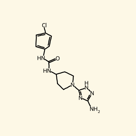 Nc1n[nH]c(N2CCC(NC(=O)Nc3ccc(Cl)cc3)CC2)n1